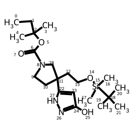 CCC(C)(C)OC(=O)N1CCC(CCO[Si](C)(C)C(C)(C)C)(c2cc(O)n[nH]2)C1